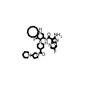 Nc1nn2cc(F)cnc2c1C(=O)NC1CNC2(CCCCCCCCC2)C(F)C1N1CCC(C(=O)N2CCC(N3CCCCC3)C2)CC1